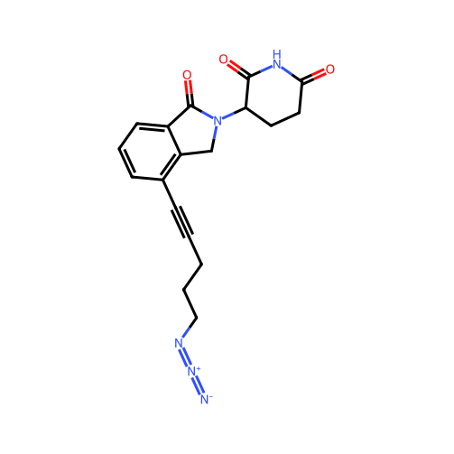 [N-]=[N+]=NCCCC#Cc1cccc2c1CN(C1CCC(=O)NC1=O)C2=O